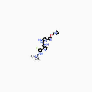 CN(C)CCNc1cc(F)cc(-c2nccc3[nH]c(-c4n[nH]c5ccc(-c6cncc(OCCN7CCCC7)c6)nc45)cc23)c1